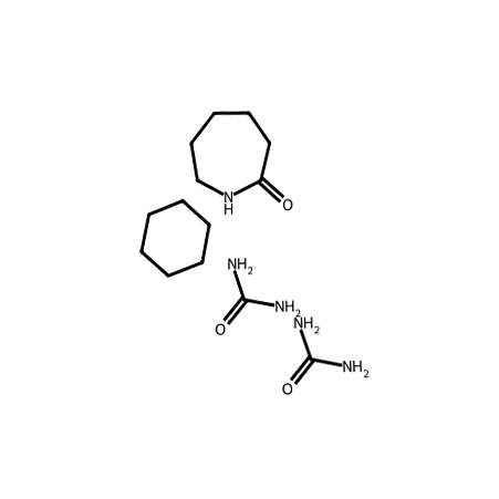 C1CCCCC1.NC(N)=O.NC(N)=O.O=C1CCCCCN1